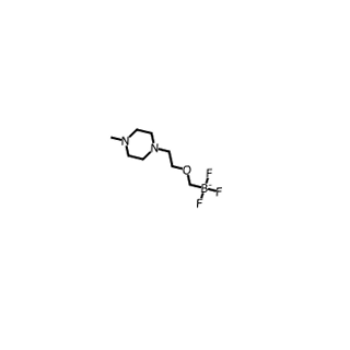 CN1CCN(CCOC[B-](F)(F)F)CC1